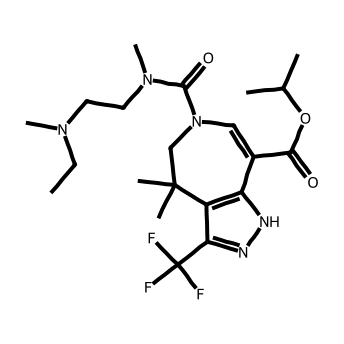 CCN(C)CCN(C)C(=O)N1C=C(C(=O)OC(C)C)c2[nH]nc(C(F)(F)F)c2C(C)(C)C1